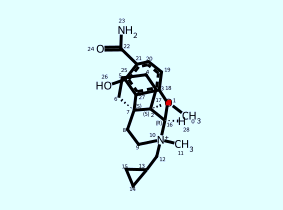 CO[C@@]12CCCC[C@@]13CC[N+](C)(CC1CC1)[C@@H]2Cc1ccc(C(N)=O)c(O)c13